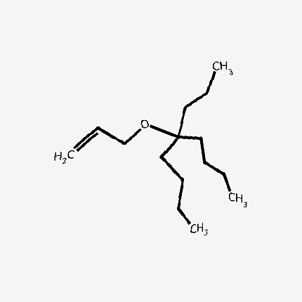 C=CCOC(CCC)(CCCC)CCCC